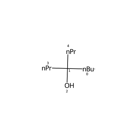 CCC[CH]C(O)(CCC)CCC